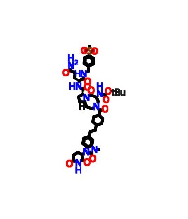 Cn1c(=O)n(C2CCC(=O)NC2=O)c2ccc(CCC3CCC(C(=O)N4CC[C@H]5CC[C@@H](C(=O)N[C@@H](CCC(N)=O)C(=O)NCc6ccc(S(C)(=O)=O)cc6)N5C(=O)[C@@H](NC(=O)OC(C)(C)C)C4)CC3)cc21